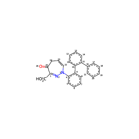 O=C(O)C1=NN(c2ccccc2-c2ccccc2-c2ccccc2)C=CCC1=O